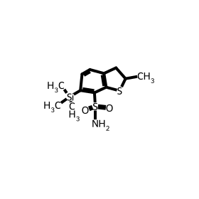 CC1Cc2ccc([Si](C)(C)C)c(S(N)(=O)=O)c2S1